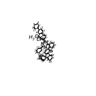 CC1(C)c2cc(-c3ccccc3)ccc2-c2ccc(-c3nc(-c4ccccc4)nc(-c4cccc5sc6c7c(ccc6c45)C4(c5ccccc5-7)C5CC6CC(C5)CC4C6)n3)cc21